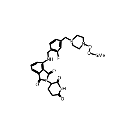 CSOON1CCN(Cc2ccc(CNc3cccc4c3C(=O)N(C3CCC(=O)NC3=O)C4=O)c(F)c2)CC1